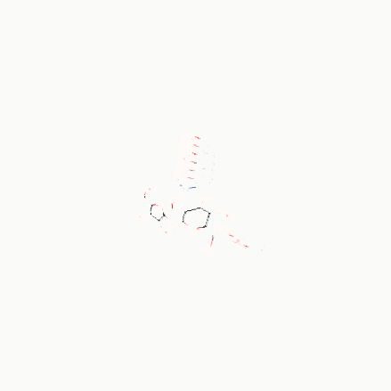 CCNCC.O=S(=O)(O)O.O=S(=O)(O)O.O=S(=O)(O)O.O=S(=O)(O)O.O=S(=O)(O)O.O=S(=O)(O)O.O=S(=O)(O)O.O=S(=O)(O)O.OC[C@H]1O[C@@](CO)(O[C@H]2O[C@H](CO)[C@@H](O)[C@H](O)[C@H]2O)[C@@H](O)[C@@H]1O